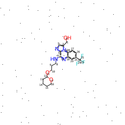 OCc1cnc2c(NCCCOC3CCCCO3)nc3cc(C(F)(F)F)ccc3n12